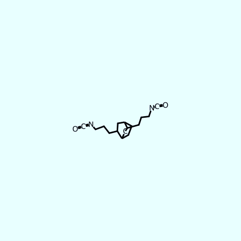 O=C=NCCCC1CC2CCC1CC2CCCN=C=O